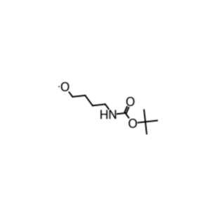 CC(C)(C)OC(=O)NCCCC[O]